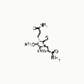 COC1C(OC)N(CCC(N)=O)C(=O)N1CCC(N)=O